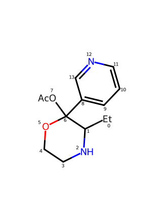 CCC1NCCOC1(OC(C)=O)c1cccnc1